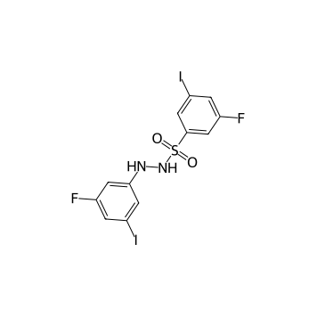 O=S(=O)(NNc1cc(F)cc(I)c1)c1cc(F)cc(I)c1